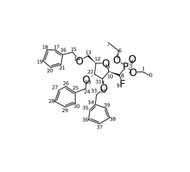 CCOP(=O)(OCC)C(F)[C@@H]1O[C@H](COCc2ccccc2)[C@@H](OCc2ccccc2)[C@@H]1OCc1ccccc1